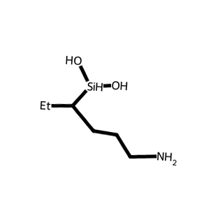 CCC(CCCN)[SiH](O)O